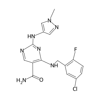 Cn1cc(Nc2ncc(C(N)=O)c(NCc3cc(Cl)ccc3F)n2)cn1